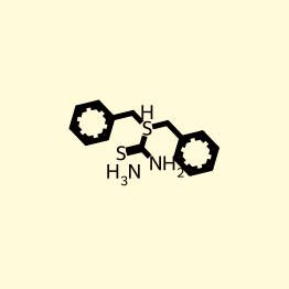 N.NC(=S)[SH](Cc1ccccc1)Cc1ccccc1